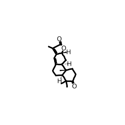 CC1=C2C=C3CC[C@@H]4C(C)(C)C(=O)CC[C@@]4(C)[C@@H]3C[C@H]2OC1=O